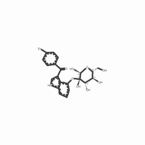 CCc1ccc(C(=O)c2c[nH]c3cccc(O[C@]4(O)[C@@H](O)O[C@H](CO)[C@@H](O)[C@@H]4O)c23)cc1